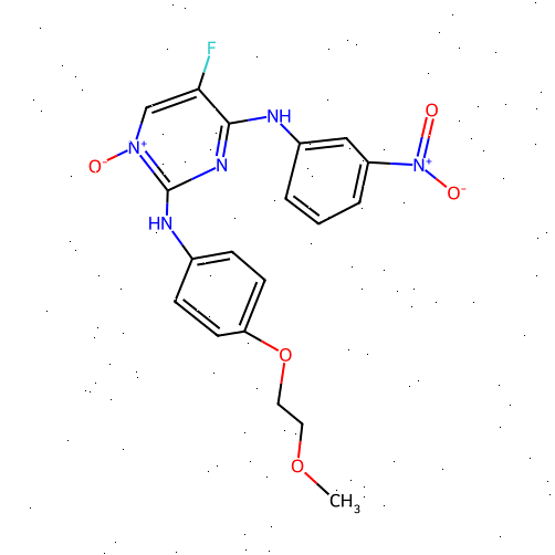 COCCOc1ccc(Nc2nc(Nc3cccc([N+](=O)[O-])c3)c(F)c[n+]2[O-])cc1